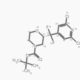 CC(C)(C)OC(=O)N1CCO[C@H](C(F)(F)c2cc(Cl)nc(Cl)c2)C1